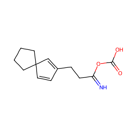 N=C(CCC1=CC2(C=C1)CCCC2)OC(=O)O